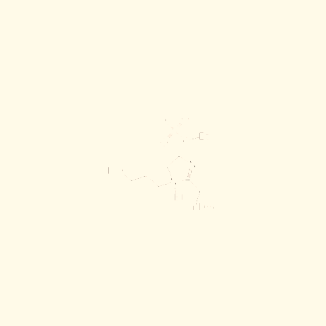 CCCCCCCCCCCC1=NCC[N+]1(CC)CCCO.CCOS(=O)(=O)[O-]